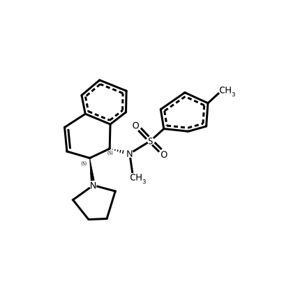 Cc1ccc(S(=O)(=O)N(C)[C@H]2c3ccccc3C=C[C@@H]2N2CCCC2)cc1